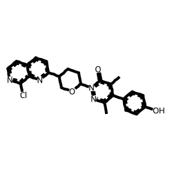 Cc1nn(C2CCC(c3ccc4ccnc(Cl)c4n3)CO2)c(=O)c(C)c1-c1ccc(O)cc1